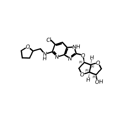 O[C@@H]1CO[C@H]2[C@@H]1OC[C@H]2Oc1nc2nc(NCC3CCCO3)c(Cl)cc2[nH]1